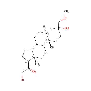 COC[C@@]1(O)CC[C@]2(C)C3CC[C@@]4(C)C(CC[C@@H]4C(=O)CBr)C3CC[C@H]2C1